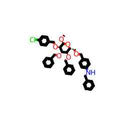 CO[C@H]1O[C@H](COCc2ccc(NCc3ccccc3)cc2)[C@@H](OCc2ccccc2)[C@H](OCc2ccccc2)[C@H]1OCc1ccc(Cl)cc1